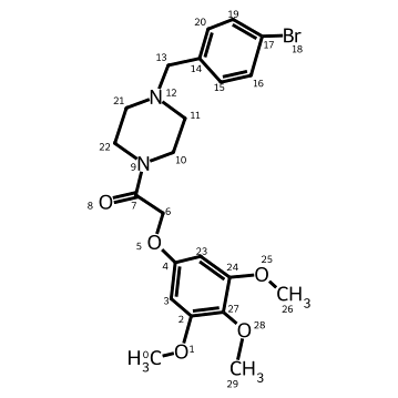 COc1cc(OCC(=O)N2CCN(Cc3ccc(Br)cc3)CC2)cc(OC)c1OC